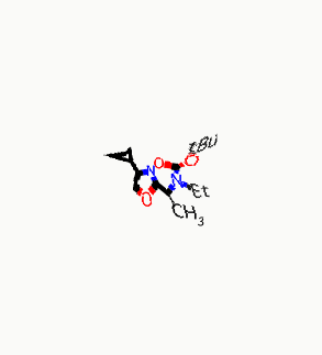 CCN(C(=O)OC(C)(C)C)[C@H](C)c1nc(C2CC2)co1